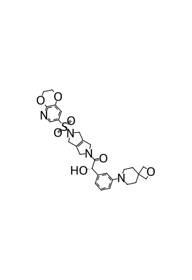 O=C([C@@H](O)c1cccc(N2CCC3(CC2)COC3)c1)N1CC2=C(C1)CN(S(=O)(=O)c1cnc3c(c1)OCCO3)C2